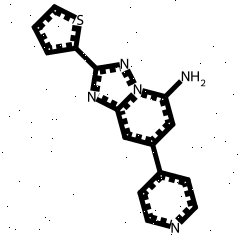 Nc1cc(-c2ccncc2)cc2nc(-c3cccs3)nn12